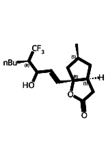 CCCC[C@H](C(O)C=C[C@@]12C[C@@H](C)C[C@H]1CC(=O)O2)C(F)(F)F